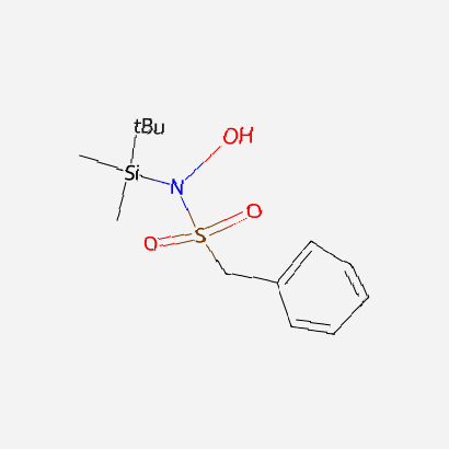 CC(C)(C)[Si](C)(C)N(O)S(=O)(=O)Cc1ccccc1